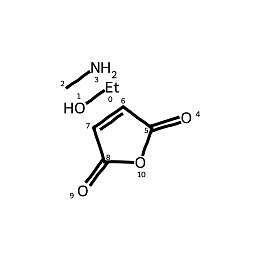 CCO.CN.O=C1C=CC(=O)O1